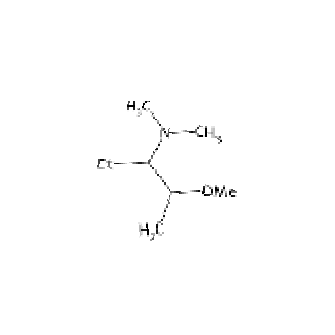 CCC(C(C)OC)N(C)C